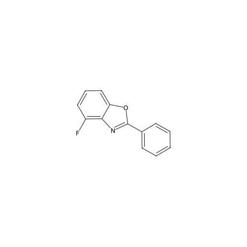 Fc1cccc2oc(-c3ccccc3)nc12